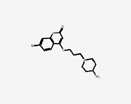 NC1CCN(CCCOc2cc(=O)oc3cc(Br)ccc23)CC1